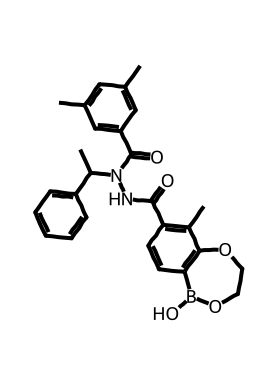 Cc1cc(C)cc(C(=O)N(NC(=O)c2ccc3c(c2C)OCCOB3O)C(C)c2ccccc2)c1